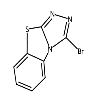 Brc1nnc2sc3ccccc3n12